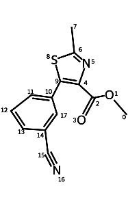 COC(=O)c1nc(C)sc1-c1cccc(C#N)c1